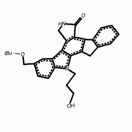 CC[C@@H](C)OCc1ccc2c(c1)c1c3c(c4c(c1n2CCCO)Cc1ccccc1-4)C(=O)NC3